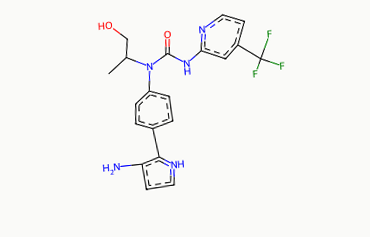 CC(CO)N(C(=O)Nc1cc(C(F)(F)F)ccn1)c1ccc(-c2[nH]ccc2N)cc1